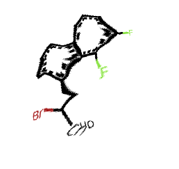 O=CC(Br)Cc1cccc2ccc(F)c(F)c12